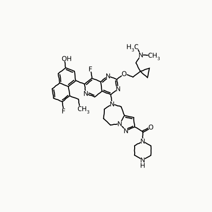 CCc1c(F)ccc2cc(O)cc(-c3ncc4c(N5CCCn6nc(C(=O)N7CCNCC7)cc6C5)nc(OCC5(CN(C)C)CC5)nc4c3F)c12